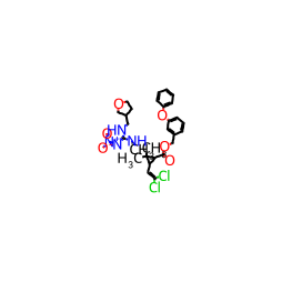 CC1(C)C(C=C(Cl)Cl)C1C(=O)OCc1cccc(Oc2ccccc2)c1.CN/C(=N/[N+](=O)[O-])NCC1CCOC1